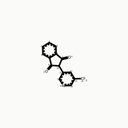 O=C1c2ccccc2C(=O)C1c1cncc(C(F)(F)F)c1